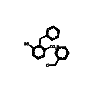 ClCc1ccccc1.O=C(O)c1cccc(O)c1Cc1ccccc1